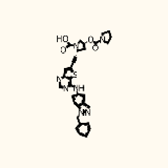 O=C(O[C@@H]1C[C@H](C#Cc2cc3ncnc(Nc4ccc5c(cnn5Cc5ccccc5)c4)c3s2)N(C(=O)O)C1)N1CCCC1